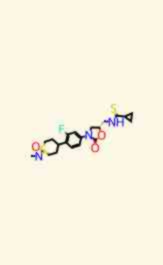 CN=S1(=O)CCC(c2ccc(N3C[C@H](CNC(=S)C4CC4)OC3=O)cc2F)CC1